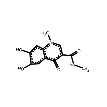 CNC(=O)c1cn(C)c2cc(O)c(O)cc2c1=O